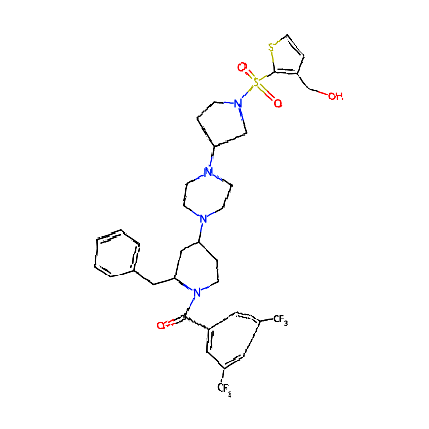 O=C(c1cc(C(F)(F)F)cc(C(F)(F)F)c1)N1CCC(N2CCN(C3CCN(S(=O)(=O)c4sccc4CO)C3)CC2)CC1Cc1ccccc1